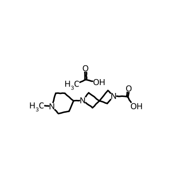 CC(=O)O.CN1CCC(N2CC3(CN(C(=O)O)C3)C2)CC1